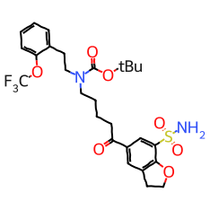 CC(C)(C)OC(=O)N(CCCCC(=O)c1cc2c(c(S(N)(=O)=O)c1)OCC2)CCc1ccccc1OC(F)(F)F